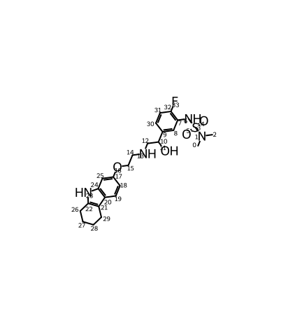 CN(C)S(=O)(=O)Nc1cc(C(O)CNCCOc2ccc3c4c([nH]c3c2)CCCC4)ccc1F